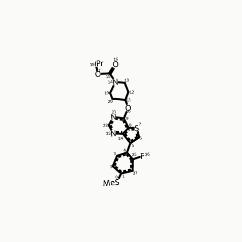 CSc1ccc(-c2csc3c(OC4CCN(C(=O)OC(C)C)CC4)ncnc23)c(F)c1